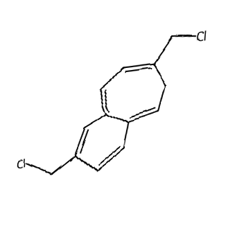 ClCC1=CC=c2cc(CCl)ccc2=CC1